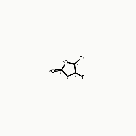 O=C1CC(F)C(F)O1